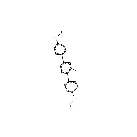 COCOc1ccc(-c2ccc(-c3ccc(OCOC)cc3)c(O)c2)cc1